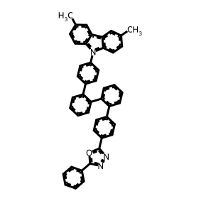 Cc1ccc2c(c1)c1cc(C)ccc1n2-c1ccc(-c2ccccc2-c2ccccc2-c2ccc(-c3nnc(-c4ccccc4)o3)cc2)cc1